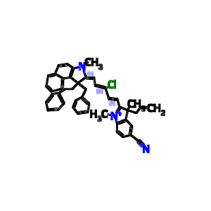 C=CCC1(C)C(/C=C/C(Cl)=C/C=C2/N(C)c3ccc4ccccc4c3C2(CCc2ccccc2)Cc2ccccc2)=[N+](C)c2ccc(C#N)cc21